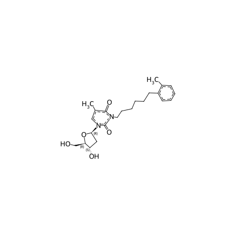 Cc1ccccc1CCCCCCn1c(=O)c(C)cn([C@H]2C[C@H](O)[C@@H](CO)O2)c1=O